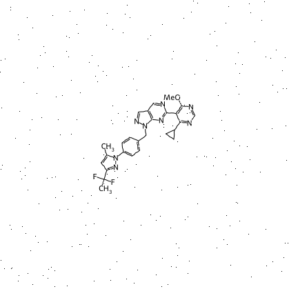 COc1ncnc(C2CC2)c1-c1ncc2cnn(Cc3ccc(-n4nc(C(C)(F)F)cc4C)cc3)c2n1